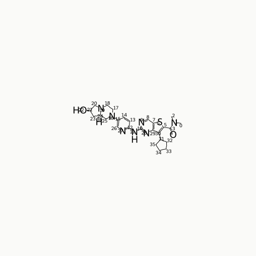 CN(C)C(=O)c1sc2cnc(Nc3ccc(N4CCN5C[C@H](O)C[C@@H]5C4)cn3)nc2c1C1CCCC1